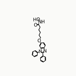 O=C(CCCCCOc1ccc2nc(-c3ccccc3)n(-c3ccccc3)c2c1)NO